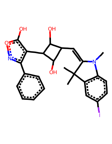 CN1/C(=C/C2C(O)C(c3c(-c4ccccc4)noc3O)C2O)C(C)(C)c2cc(I)ccc21